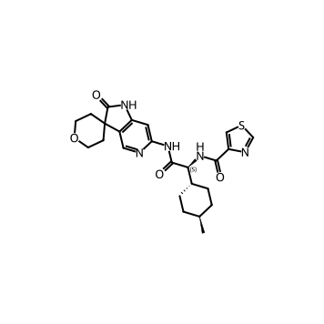 C[C@H]1CC[C@H]([C@H](NC(=O)c2cscn2)C(=O)Nc2cc3c(cn2)C2(CCOCC2)C(=O)N3)CC1